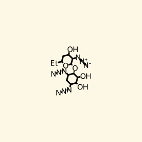 CCC1CC(O)C(N=[N+]=[N-])[C@@H](O[C@@H]2C(N=[N+]=[N-])CC(N=[N+]=[N-])C(O)C2O)O1